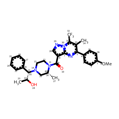 COc1ccc(-c2nc3c(C(=O)N4CCN([C@@H](c5ccccc5)C(C)O)C[C@H]4C)cnn3c(C(F)(F)F)c2C)cc1